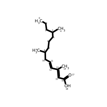 CCCC(C)CCCC(C)C/C=C/C(C)=C/C(=O)O